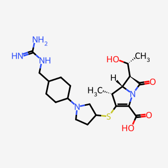 C[C@@H](O)[C@H]1C(=O)N2C(C(=O)O)=C(SC3CCN(C4CCC(CNC(=N)N)CC4)C3)[C@H](C)[C@H]12